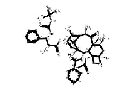 CC(=O)O[C@@]12CO[C@@H]1C[C@H](C)[C@@]1(C)C(=O)[C@H](C)C3=C(C)[C@@H](OC(=O)[C@H](C)[C@@H](NC(=O)OC(C)(C)C)c4ccccc4)C[C@@](O)([C@@H](OC(=O)c4ccccc4)C12)C3(C)C